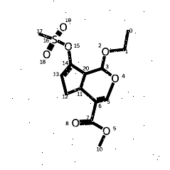 CCOC1OC=C(C(=O)OC)C2CC=C(OS(C)(=O)=O)C12